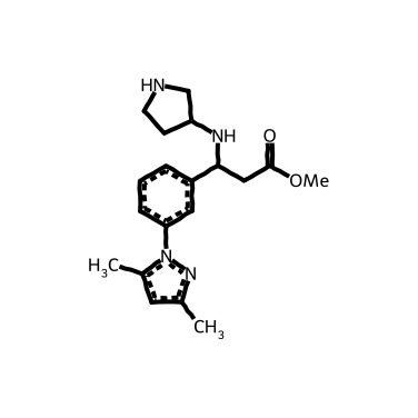 COC(=O)CC(NC1CCNC1)c1cccc(-n2nc(C)cc2C)c1